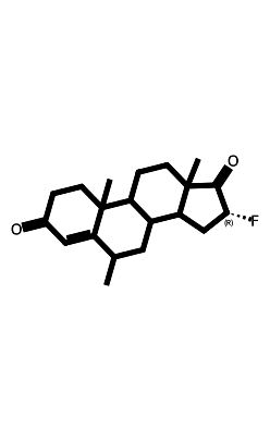 CC1CC2C3C[C@@H](F)C(=O)C3(C)CCC2C2(C)CCC(=O)C=C12